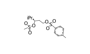 Cc1ccc(S(=O)(=O)OCC[C@@H](OS(C)(=O)=O)C(C)C)cc1